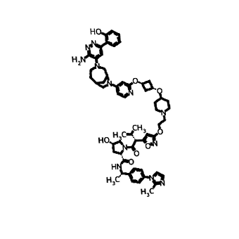 Cc1nccn1-c1ccc([C@H](C)NC(=O)[C@@H]2C[C@@H](O)CN2C(=O)[C@@H](c2cc(OCCN3CCC(O[C@H]4C[C@H](Oc5cc(N6CC7CCN(c8cc(-c9ccccc9O)nnc8N)CC6C7)ccn5)C4)CC3)no2)C(C)C)cc1